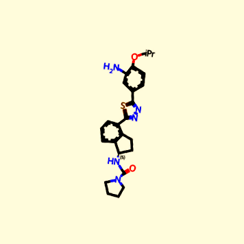 CC(C)Oc1ccc(-c2nnc(-c3cccc4c3CC[C@@H]4NC(=O)N3CCCC3)s2)cc1N